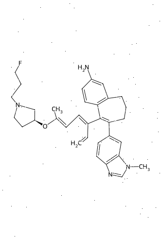 C=C/C(=C\C=C(/C)O[C@H]1CCN(CCCF)C1)C1=C(c2ccc3ncn(C)c3c2)CCCc2cc(N)ccc21